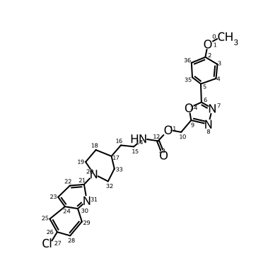 COc1ccc(-c2nnc(COC(=O)NCCC3CCN(c4ccc5cc(Cl)ccc5n4)CC3)o2)cc1